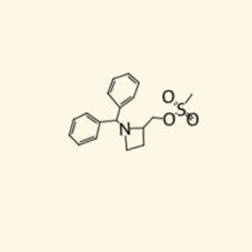 CS(=O)(=O)OCC1CCN1C(c1ccccc1)c1ccccc1